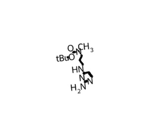 CN(CCCNc1ccnc(N)n1)C(=O)OC(C)(C)C